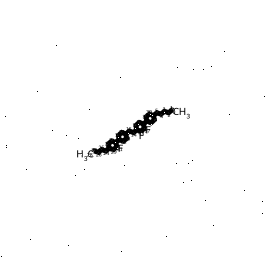 CCCCCCC1CCC(C2CCC(CCC3CCC(C4CCC(CCCCC)CC4F)CC3)C(F)C2F)CC1